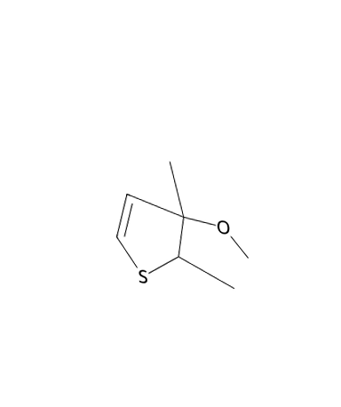 COC1(C)C=CSC1C